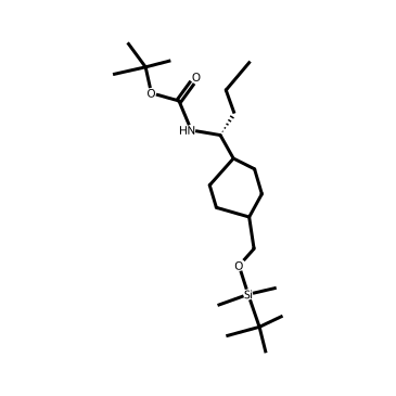 CCC[C@@H](NC(=O)OC(C)(C)C)C1CCC(CO[Si](C)(C)C(C)(C)C)CC1